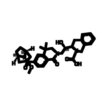 COC1C[C@H]2CC[C@@H](C1)N2C(=O)c1ccc2c(c1)C(C)(C)CN(C[C@@H](O)C1Cc3ccccc3CN1C(=O)O)C2=O